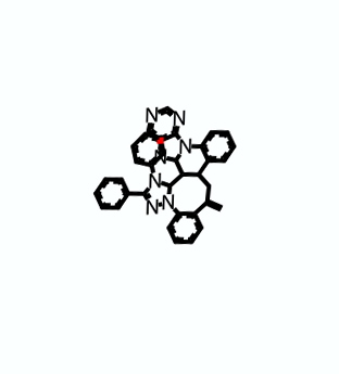 C=C1CC2c3ccccc3N3c4ncncc4N(C)C3C2C2N(N=C(c3ccccc3)N2c2ccccc2)c2ccccc21